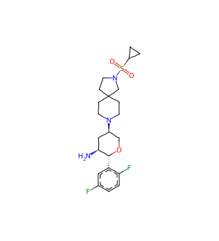 N[C@H]1C[C@@H](N2CCC3(CC2)CCN(S(=O)(=O)C2CC2)C3)CO[C@@H]1c1cc(F)ccc1F